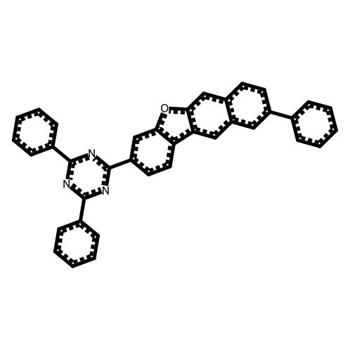 c1ccc(-c2ccc3cc4oc5cc(-c6nc(-c7ccccc7)nc(-c7ccccc7)n6)ccc5c4cc3c2)cc1